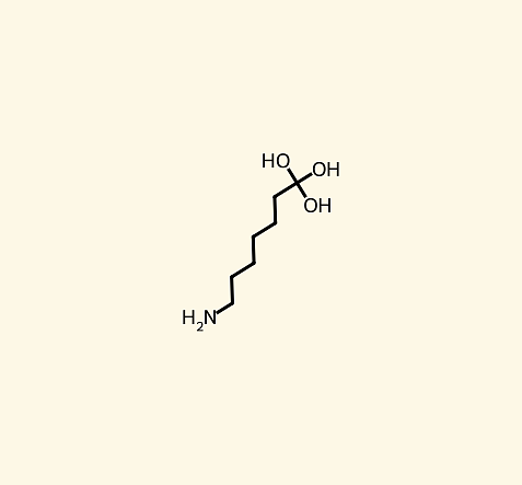 NCCCCCCC(O)(O)O